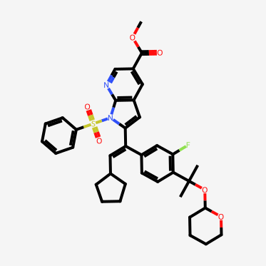 COC(=O)c1cnc2c(c1)cc(C(=CC1CCCC1)c1ccc(C(C)(C)OC3CCCCO3)c(F)c1)n2S(=O)(=O)c1ccccc1